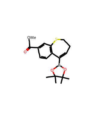 COC(=O)c1ccc2c(c1)SCCC=C2B1OC(C)(C)C(C)(C)O1